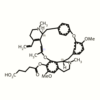 C=CC1=C2/C=C(\C)Oc3c(OC(=O)CCCC(=O)O)c(OC)cc4c3[C@H](Cc3ccc(OC)c(c3)Oc3ccc(cc3)C[C@@H]2N(C)CC1)N(C)CC4